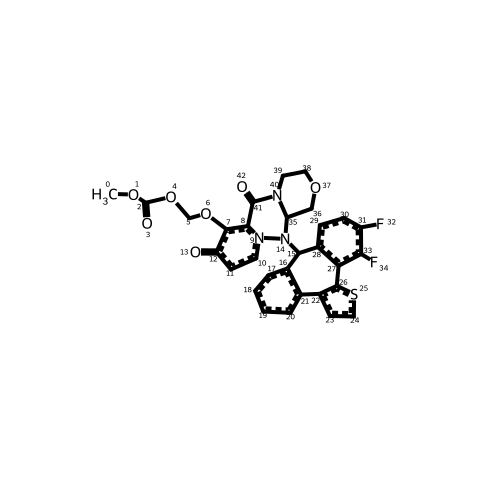 COC(=O)OCOc1c2n(ccc1=O)N(C1c3ccccc3-c3ccsc3-c3c1ccc(F)c3F)C1COCCN1C2=O